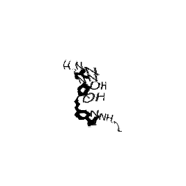 Nc1ccc2ccc(C/C=C/[C@H]3C[C@@H](N4CCc5c(N)ncnc54)[C@H](O)[C@@H]3O)cc2n1